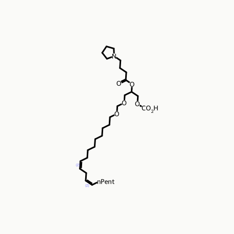 CCCCC/C=C\C/C=C\CCCCCCCCOCOCC(COC(=O)O)OC(=O)CCCN1CCCC1